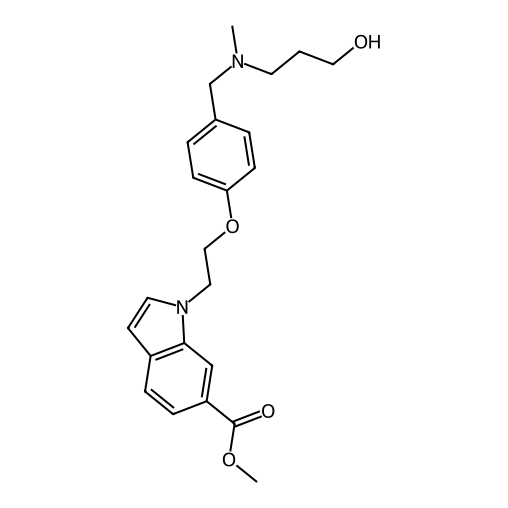 COC(=O)c1ccc2ccn(CCOc3ccc(CN(C)CCCO)cc3)c2c1